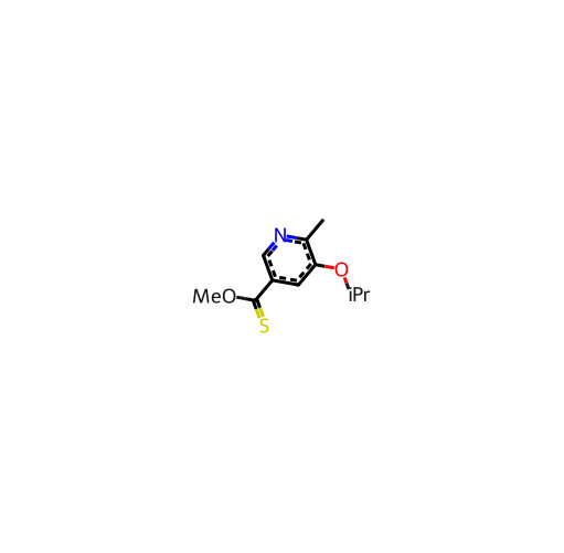 COC(=S)c1cnc(C)c(OC(C)C)c1